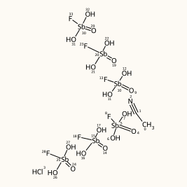 CC#N.Cl.[O]=[Sb]([OH])([OH])[F].[O]=[Sb]([OH])([OH])[F].[O]=[Sb]([OH])([OH])[F].[O]=[Sb]([OH])([OH])[F].[O]=[Sb]([OH])([OH])[F].[O]=[Sb]([OH])([OH])[F]